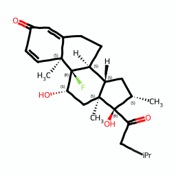 CC(C)CC(=O)[C@@]1(O)[C@@H](C)C[C@H]2[C@@H]3CCC4=CC(=O)C=C[C@]4(C)[C@@]3(F)[C@@H](O)C[C@@]21C